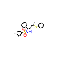 Cc1ccc(S(=O)(=O)NC(CCC(C)Sc2ccccc2)c2ccccc2)cc1